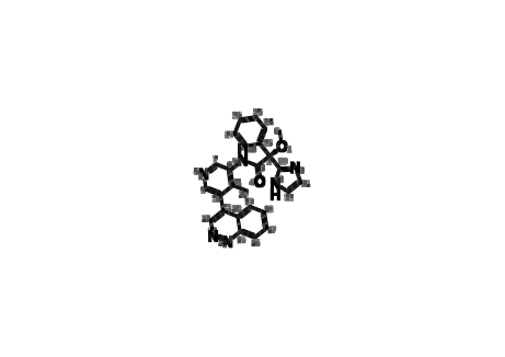 CO[C@@](C(=O)Nc1cncc(-c2cnnc3ccccc23)c1C)(c1ccccc1)c1ncc[nH]1